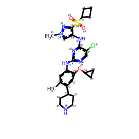 Cc1cc(Nc2ncc(Cl)c(Nc3cn(C)nc3S(=O)(=O)C3CCC3)n2)c(OC2CC2)cc1C1CCNCC1